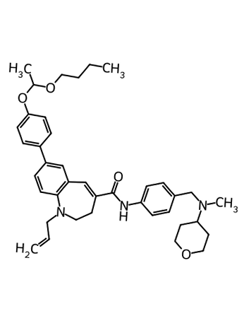 C=CCN1CCC(C(=O)Nc2ccc(CN(C)C3CCOCC3)cc2)=Cc2cc(-c3ccc(OC(C)OCCCC)cc3)ccc21